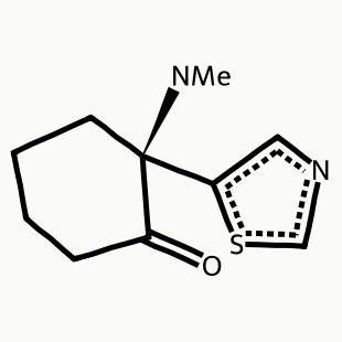 CN[C@]1(c2cncs2)CCCCC1=O